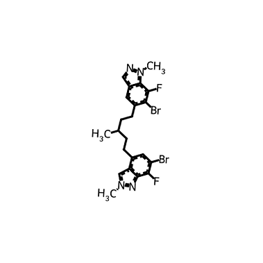 CC(CCc1cc2cnn(C)c2c(F)c1Br)CCc1cc(Br)c(F)c2nn(C)cc12